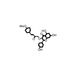 COc1ccc(/C=C/C(=O)COc2c(-c3ccc(O)cc3)oc3cc(O)cc(O)c3c2=O)cc1